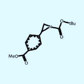 COC(=O)c1ccc(C2CN2C(=O)OC(C)(C)C)cc1